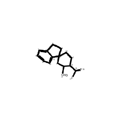 O=CC1CC2(CCc3ccccc32)CCC1C(F)F